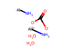 O.O.O=C([O-])[O-].[NH2][Al+2].[NH2][Al]